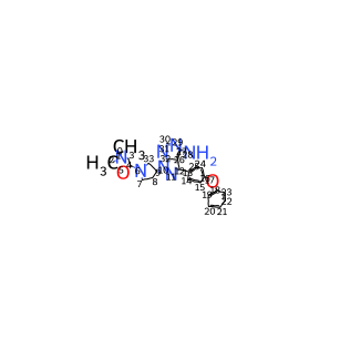 CN(C)CC(=O)N1CC[C@@H](n2nc(-c3ccc(Oc4ccccc4)cc3)c3c(N)ncnc32)C1